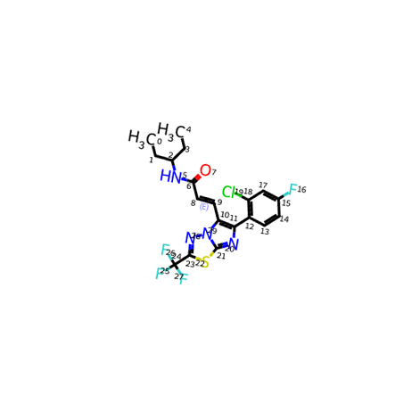 CCC(CC)NC(=O)/C=C/c1c(-c2ccc(F)cc2Cl)nc2sc(C(F)(F)F)nn12